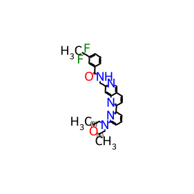 C[C@@H]1CN(c2cccc(-c3ccc4cnc(CNC(=O)c5cccc(C(C)(F)F)c5)cc4n3)n2)C[C@H](C)O1